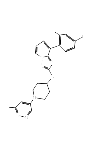 Cc1cc(N2CCC(Nc3nc4c(-c5ccc(F)cc5Cl)cccn4n3)CC2)cnn1